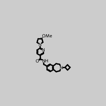 CO[C@H]1CCN(c2ccc(C(=O)NCc3ccc4c(c3)CCN(C3CCC3)CC4)cn2)C1